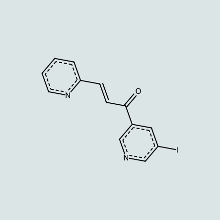 O=C(/C=C/c1ccccn1)c1cncc(I)c1